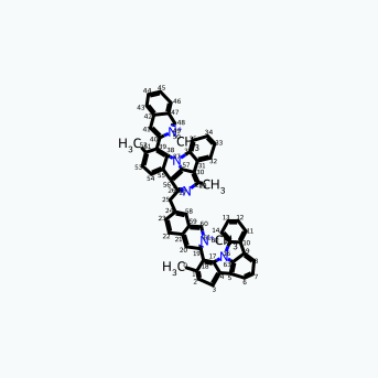 Cc1ccc2c3cccc4c5ccccc5n(c2c1-c1cc2ccc(Cc5nc(C)c6c7ccccc7n7c8c(-c9cc%10ccccc%10c[n+]9C)c(C)ccc8c5c67)cc2c[n+]1C)c43